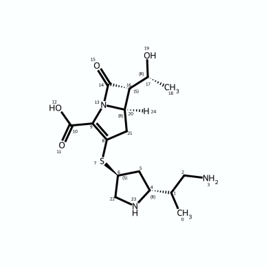 CC(CN)[C@H]1C[C@H](SC2=C(C(=O)O)N3C(=O)[C@H]([C@@H](C)O)[C@H]3C2)CN1